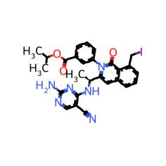 CC(C)OC(=O)c1cccc(-n2c([C@H](C)Nc3nc(N)ncc3C#N)cc3cccc(CI)c3c2=O)c1